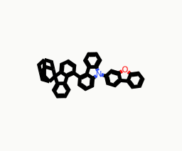 c1ccc2c(c1)-c1c(-c3cccc4c3c3ccccc3n4-c3ccc4c(c3)oc3ccccc34)cccc1C21C2CC3CC(C2)CC1C3